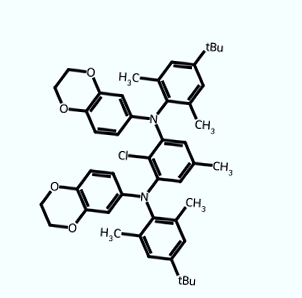 Cc1cc(N(c2ccc3c(c2)OCCO3)c2c(C)cc(C(C)(C)C)cc2C)c(Cl)c(N(c2ccc3c(c2)OCCO3)c2c(C)cc(C(C)(C)C)cc2C)c1